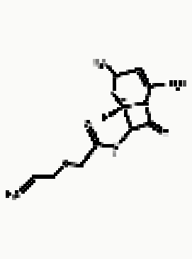 C=CCSCC(=O)NC1C(=O)N2C(C(=O)O)=CC(C)S[C@@H]12